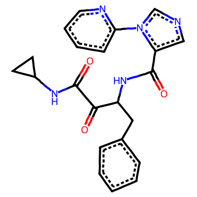 O=C(NC1CC1)C(=O)C(Cc1ccccc1)NC(=O)c1cncn1-c1ccccn1